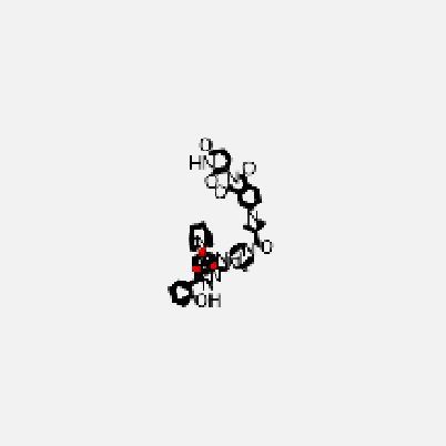 Nc1nnc(-c2ccccc2O)cc1N1CC2CCC(C1)N2c1cccc(CN2CCN(C(=O)C3CN(c4ccc5c(c4)C(=O)N(C4CCC(=O)NC4=O)C5=O)C3)CC2)c1